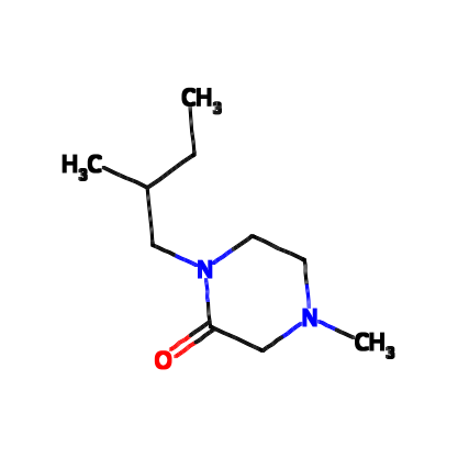 CCC(C)CN1CCN(C)CC1=O